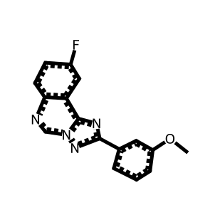 COc1cccc(-c2nc3c4cc(F)ccc4ncn3n2)c1